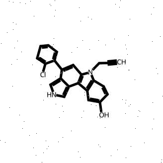 C#CCn1c2ccc(O)cc2c2c3c[nH]cc3c(-c3ccccc3Cl)cc21